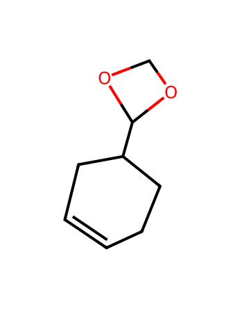 C1=CCC(C2OCO2)CC1